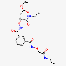 CC(C)CNC(=O)CONC(=O)c1cccc(C(=O)NO[C@H](CC(=O)OC(C)(C)C)C(=O)NCC(C)C)c1